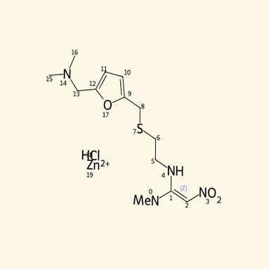 CN/C(=C/[N+](=O)[O-])NCCSCc1ccc(CN(C)C)o1.Cl.[Zn+2]